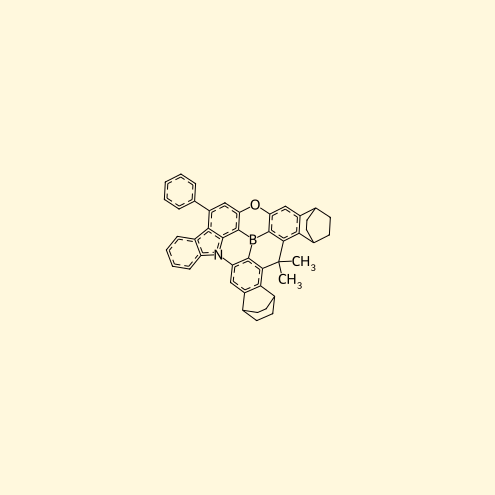 CC1(C)c2c3c(cc4c2C2CCC4CC2)Oc2cc(-c4ccccc4)c4c5ccccc5n5c4c2B3c2c-5cc3c(c21)C1CCC3CC1